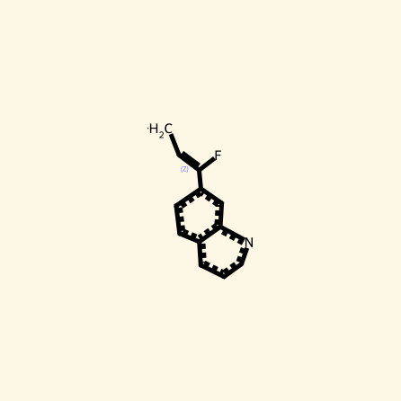 [CH2]/C=C(\F)c1ccc2cccnc2c1